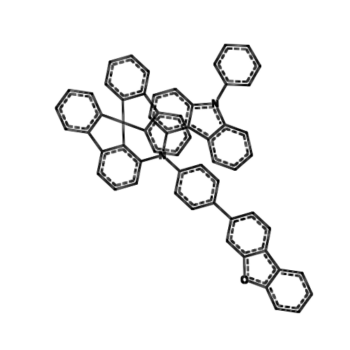 c1ccc(-n2c3ccccc3c3c(N(c4ccc(-c5ccc6c(c5)oc5ccccc56)cc4)c4cccc5c4C4(c6ccccc6-c6ccccc64)c4ccccc4-5)cccc32)cc1